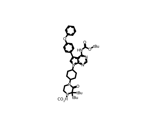 CC(C)(C)OC(=O)Nc1ncnc2c1c(-c1ccc(Oc3ccccc3)cc1)cn2C1CCC(N2CCN(C(=O)O)C(C(C)(C)C)(C(C)(C)C)C2=O)CC1